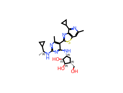 Cc1cc2sc(-c3c(C)nc(N[C@H](C)C4CC4)nc3N[C@@H]3C[C@H](CO)[C@@H](O)[C@H]3O)nc2c(C2CC2)n1